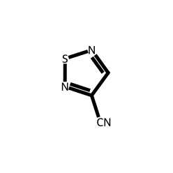 N#Cc1cnsn1